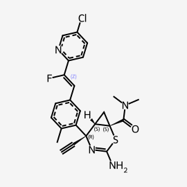 C#C[C@]1(c2cc(/C=C(\F)c3ccc(Cl)cn3)ccc2C)N=C(N)S[C@@]2(C(=O)N(C)C)C[C@H]21